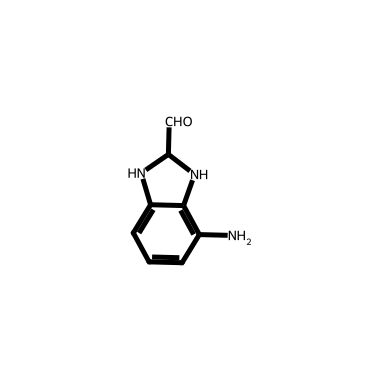 Nc1cccc2c1NC(C=O)N2